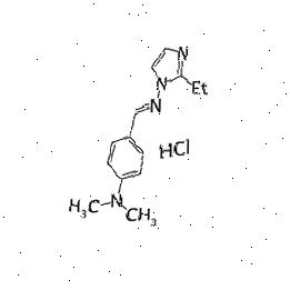 CCc1nccn1/N=C/c1ccc(N(C)C)cc1.Cl